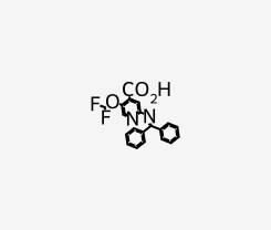 O=C(O)c1cc(N=C(c2ccccc2)c2ccccc2)ncc1OC(F)F